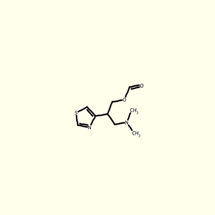 CN(C)CC(COC=O)c1cscn1